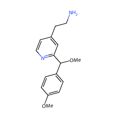 COc1ccc(C(OC)c2cc(CCN)ccn2)cc1